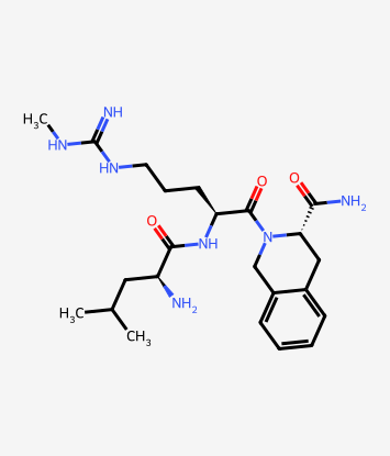 CNC(=N)NCCC[C@H](NC(=O)[C@@H](N)CC(C)C)C(=O)N1Cc2ccccc2C[C@H]1C(N)=O